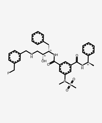 C[C@@H](NC(=O)c1cc(C(=O)N[C@@H](Cc2ccccc2)[C@H](O)CNCc2cccc(CF)c2)cc(N(C)S(C)(=O)=O)c1)c1ccccc1